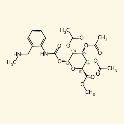 CNCc1ccccc1NC(=O)O[C@@H]1O[C@H](C(=O)OC)[C@@H](OC(C)=O)[C@H](OC(C)=O)[C@H]1OC(C)=O